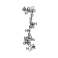 Cc1ncsc1-c1ccc(CNC(=O)[C@@H]2CCCN2C(=O)C(NC(=O)COCCNCCN/C=C(/COCCOCCOCCNC(=O)C2(Cc3cccc(Nc4nccs4)n3)CCCCC2)N=N)C(C)(C)C)cc1